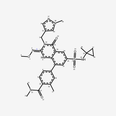 CO/N=c1\[nH]c2c(-c3ccc(C(=O)N(C)C)c(C)c3)cc(S(=O)(=O)NC3(C)CC3)cc2c(=O)n1Cc1cnn(C)c1